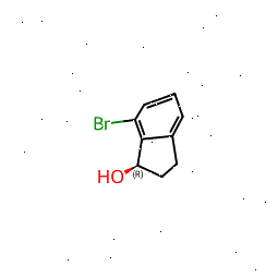 O[C@@H]1CCc2cccc(Br)c21